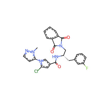 Cn1nccc1-n1cc(C(=O)N[C@@H](Cc2cccc(F)c2)CN2C(=O)c3ccccc3C2=O)cc1Cl